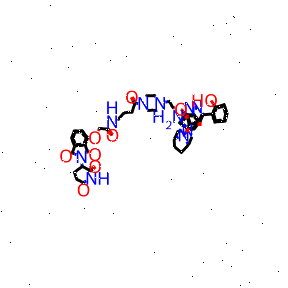 Nc1nnc(-c2ccccc2O)cc1N1CC2CCC(C1)N2c1cccc(OCCN2CCN(C(=O)CCCNC(=O)COc3cccc4c3C(=O)N(C3CCC(=O)NC3=O)C4=O)CC2)c1